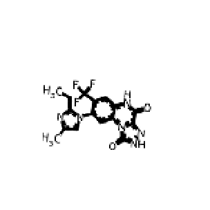 CCc1nc(C)cn1-c1cc2c(cc1C(F)(F)F)[nH]c(=O)c1n[nH]c(=O)n12